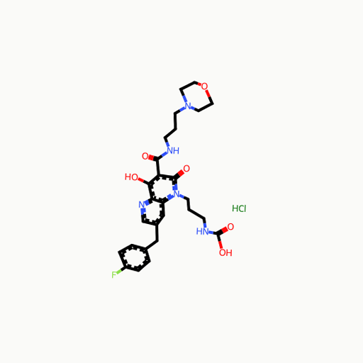 Cl.O=C(O)NCCCn1c(=O)c(C(=O)NCCCN2CCOCC2)c(O)c2ncc(Cc3ccc(F)cc3)cc21